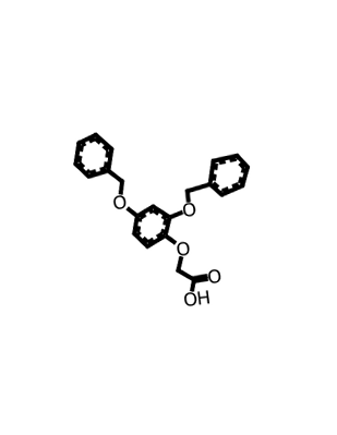 O=C(O)COc1ccc(OCc2ccccc2)cc1OCc1ccccc1